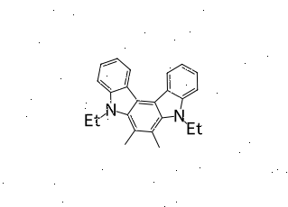 CCn1c2ccccc2c2c3c4ccccc4n(CC)c3c(C)c(C)c21